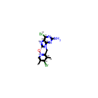 Cc1c[n+]([O-])c(Cn2cnc3c(Br)nc(N)nc32)c(C)c1Br